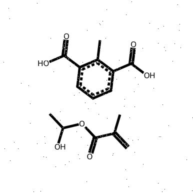 C=C(C)C(=O)OC(C)O.Cc1c(C(=O)O)cccc1C(=O)O